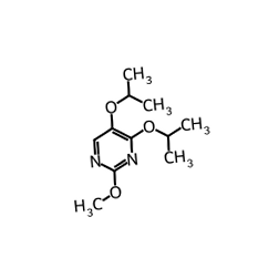 COc1ncc(OC(C)C)c(OC(C)C)n1